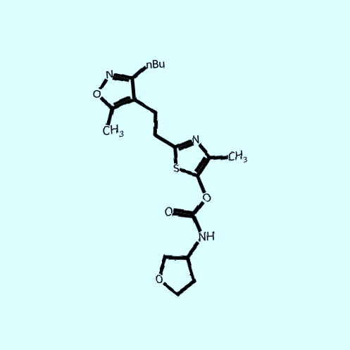 CCCCc1noc(C)c1CCc1nc(C)c(OC(=O)NC2CCOC2)s1